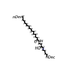 CCCCCCCCCCCCC/C=C/C(O)CCNC(=O)CCCCCCCCCCCCCCCCCCCCCCCCC